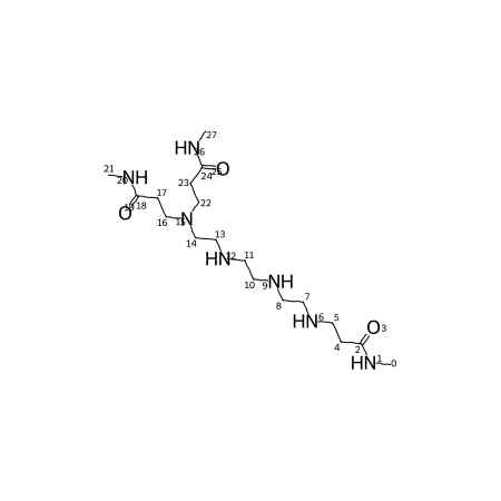 CNC(=O)CCNCCNCCNCCN(CCC(=O)NC)CCC(=O)NC